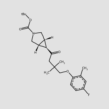 Cc1cc(F)ccc1OCC(C)(C)CC(=O)[C@H]1[C@@H]2CN(C(=O)OC(C)(C)C)C[C@@H]21